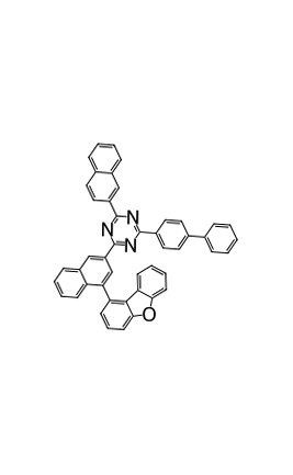 c1ccc(-c2ccc(-c3nc(-c4ccc5ccccc5c4)nc(-c4cc(-c5cccc6oc7ccccc7c56)c5ccccc5c4)n3)cc2)cc1